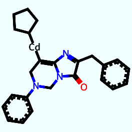 O=C1C(Cc2ccccc2)=NC2=[C]([Cd][CH]3CCCC3)CN(c3ccccc3)CN12